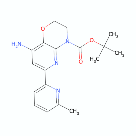 Cc1cccc(-c2cc(N)c3c(n2)N(C(=O)OC(C)(C)C)CCO3)n1